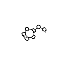 c1cncc(-c2cccc(-c3cc4cc(c3)-c3cccc(c3)-c3cccnc3-c3ncccc3-c3cccc-4c3)c2)c1